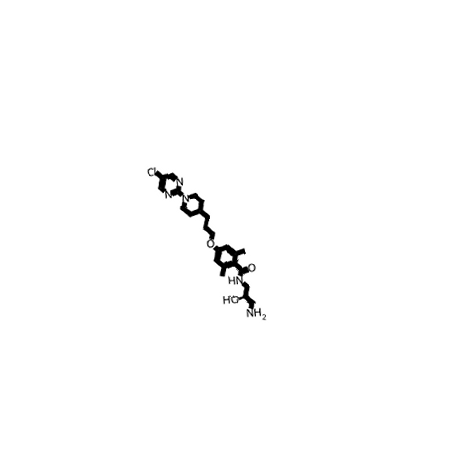 Cc1cc(OCCCC2CCN(c3ncc(Cl)cn3)CC2)cc(C)c1C(=O)NC[C@H](O)CN